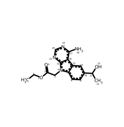 CCOC(=O)Cn1c2ccc(C(C)O)cc2c2c(N)ncnc21